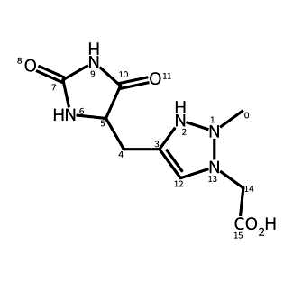 CN1NC(CC2NC(=O)NC2=O)=CN1CC(=O)O